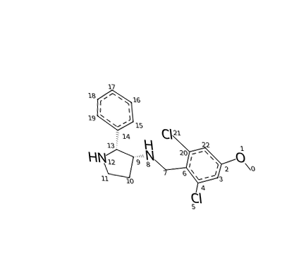 COc1cc(Cl)c(CN[C@@H]2CCN[C@@H]2c2ccccc2)c(Cl)c1